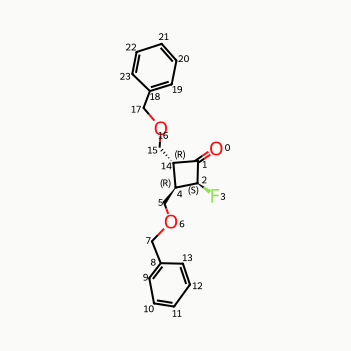 O=C1[C@@H](F)[C@@H](COCc2ccccc2)[C@@H]1COCc1ccccc1